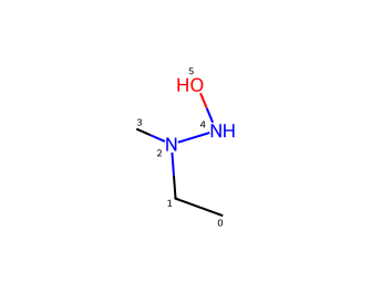 CCN(C)NO